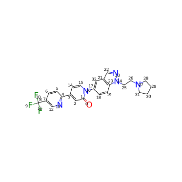 O=c1cc(-c2ccc(C(F)(F)F)cn2)ccn1-c1ccc2c(cnn2CCN2CCCC2)c1